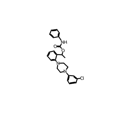 CC(OC(=O)Nc1ccccc1)c1ccccc1N1CCN(c2cccc(Cl)c2)CC1